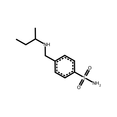 CCC(C)NCc1ccc(S(N)(=O)=O)cc1